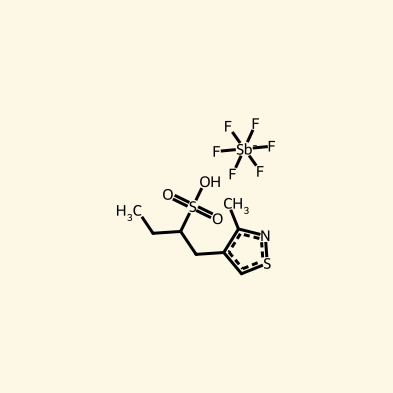 CCC(Cc1csnc1C)S(=O)(=O)O.[F][Sb-]([F])([F])([F])([F])[F]